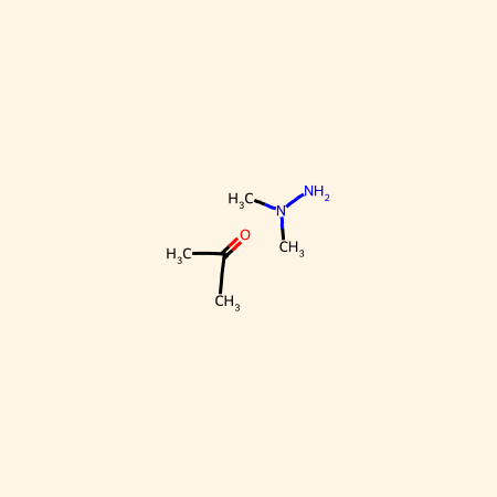 CC(C)=O.CN(C)N